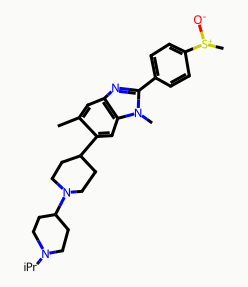 Cc1cc2nc(-c3ccc([S+](C)[O-])cc3)n(C)c2cc1C1CCN(C2CCN(C(C)C)CC2)CC1